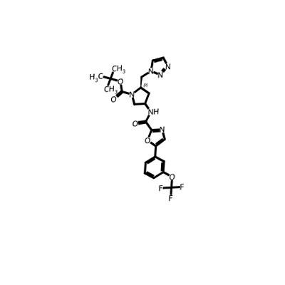 CC(C)(C)OC(=O)N1CC(NC(=O)c2ncc(-c3cccc(OC(F)(F)F)c3)o2)C[C@@H]1Cn1ccnn1